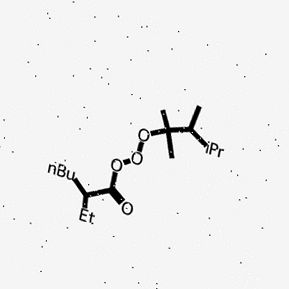 CCCCC(CC)C(=O)OOOC(C)(C)C(C)C(C)C